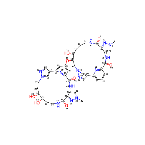 Cn1cc2c(n1)C(=O)NCCCC(O)C(Oc1cc3nc(c1)-c1cnn(c1)CCC(O)C(O)CCNC(=O)c1nn(C)cc1NC3=O)Cn1cc(cn1)-c1cccc(n1)C(=O)N2